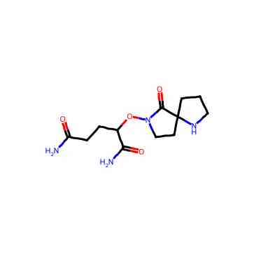 NC(=O)CCC(ON1CCC2(CCCN2)C1=O)C(N)=O